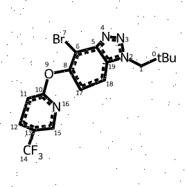 CC(C)(C)Cn1nnc2c(Br)c(Oc3ccc(C(F)(F)F)cn3)ccc21